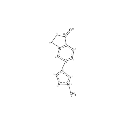 Cn1cc(-c2ccc3c(c2)CCC3=O)cn1